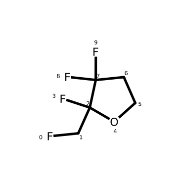 FCC1(F)OCCC1(F)F